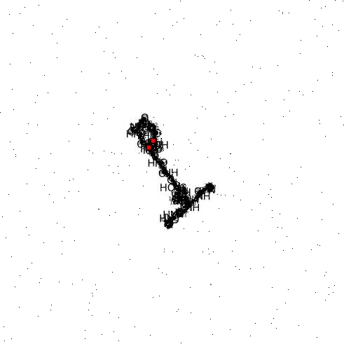 Cc1ccccc1NC(=O)Nc1ccc(CC(=O)N[C@@H](CCCCNC(=O)CCc2cccnc2)C(=O)N[C@@H](CCCC(=O)O)C(=O)NC2(C(=O)NCCOCCOCCNC(=O)CCC(=O)NCCOCCOCCNC(=O)CCC(=O)N[C@H](CSC3CC(=O)N(CC4CCC(C(=O)NCCCC(O)(P(=O)(O)O)P(=O)(O)O)CC4)C3=O)C(N)=O)CCCCC2)cc1